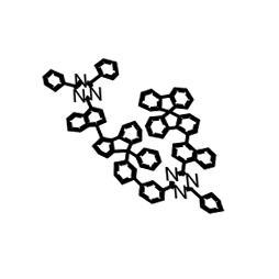 c1ccc(-c2nc(-c3ccccc3)nc(-c3ccc(-c4cccc5c4-c4ccccc4C5(c4ccccc4)c4cccc(-c5cccc(-c6nc(-c7ccccc7)nc(-c7ccc(-c8cccc9c8-c8ccccc8C98c9ccccc9-c9ccccc98)c8ccccc78)n6)c5)c4)c4ccccc34)n2)cc1